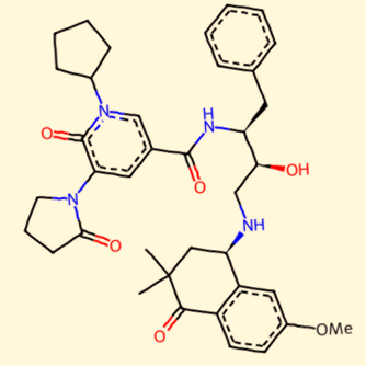 COc1ccc2c(c1)[C@H](NC[C@H](O)[C@H](Cc1ccccc1)NC(=O)c1cc(N3CCCC3=O)c(=O)n(C3CCCC3)c1)CC(C)(C)C2=O